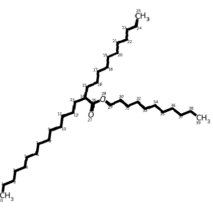 CCCCCCCCCCCCCCC(CCCCCCCCCCC)C(=O)OCCCCCCCCCCC